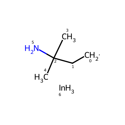 [CH2]CC(C)(C)N.[InH3]